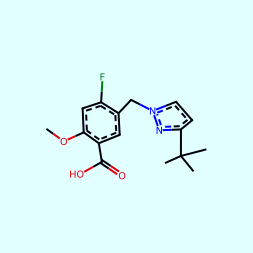 COc1cc(F)c(Cn2ccc(C(C)(C)C)n2)cc1C(=O)O